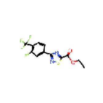 CCOC(=O)c1nc(-c2ccc(C(F)(F)F)c(F)c2)ns1